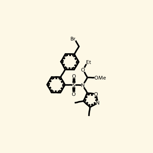 CCOC(OC)N(c1onc(C)c1C)S(=O)(=O)c1ccccc1-c1ccc(CBr)cc1